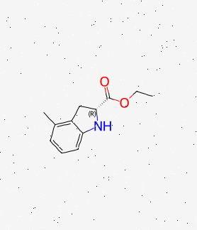 CCOC(=O)[C@H]1Cc2c(C)cccc2N1